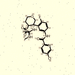 CNC(=N)N[C@@]1(c2cc(NC(=O)c3ccc(Cl)cn3)ccc2F)COCCC1S(=O)(=O)I